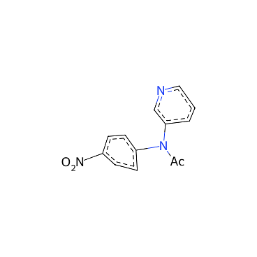 CC(=O)N(c1ccc([N+](=O)[O-])cc1)c1cccnc1